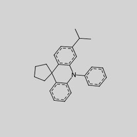 CC(C)c1ccc2c(c1)N(c1ccccc1)c1ccccc1C21CCCC1